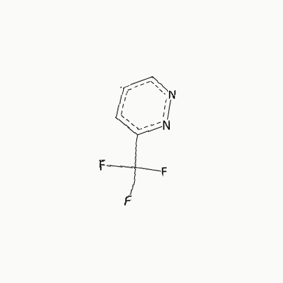 FC(F)(F)c1c[c]cnn1